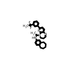 C=C(Nc1ccc2c(c1)CCCCC2)N1CCC=Nc2ccc(-c3cccc(C(C)(F)F)c3)nc21